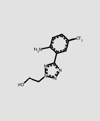 Nc1ccc(C(F)(F)F)cc1-c1nnn(CCO)n1